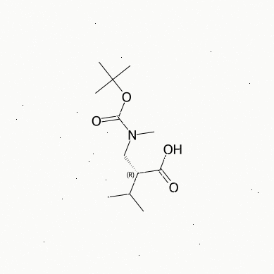 CC(C)[C@H](CN(C)C(=O)OC(C)(C)C)C(=O)O